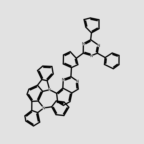 c1ccc(-c2nc(-c3ccccc3)nc(-c3cccc(-c4ncc5cccc(-n6c7ccccc7c7ccc8c9ccccc9n(-c9ccccc9)c8c76)c5n4)c3)n2)cc1